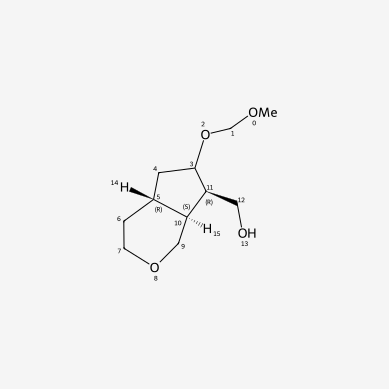 COCOC1C[C@H]2CCOC[C@@H]2[C@@H]1CO